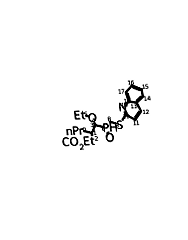 CCCC(C(=O)OCC)C(OCC)[PH](=O)CSc1ccc2ccccc2n1